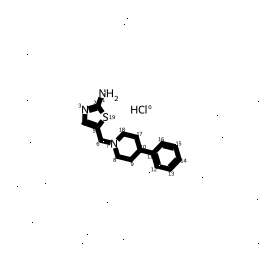 Cl.Nc1ncc(CN2CCC(c3ccccc3)CC2)s1